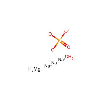 O.O=P([O-])([O-])[O-].[MgH2].[Na+].[Na+].[Na+]